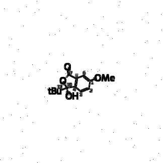 COc1ccc2c(c1)C(=O)OC2(O)C(C)(C)C